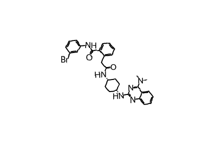 CN(C)c1nc(N[C@H]2CC[C@@H](NC(=O)Cc3ccccc3C(=O)Nc3cccc(Br)c3)CC2)nc2ccccc12